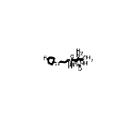 C=C1NC(=O)NC(C(=O)NCCCOc2ccc(F)cc2)=C1N